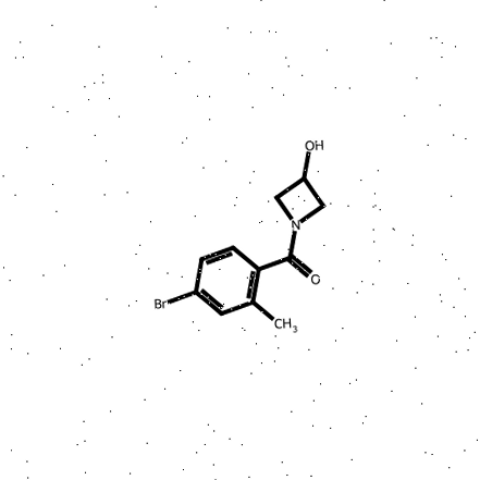 Cc1cc(Br)ccc1C(=O)N1CC(O)C1